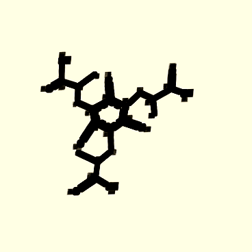 CC(Cn1c(=O)n(CC(C)C(=O)O)c(=O)n(CC(C)C(=O)O)c1=O)C(=O)O